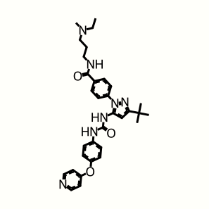 CCN(C)CCCNC(=O)c1ccc(-n2nc(C(C)(C)C)cc2NC(=O)Nc2ccc(Oc3ccncc3)cc2)cc1